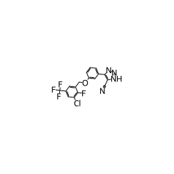 N#Cc1[nH]nnc1-c1cccc(OCc2cc(C(F)(F)F)cc(Cl)c2F)c1